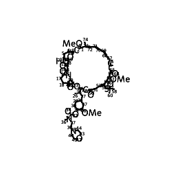 CO[C@H]1C[C@@H]2CC[C@@H](C)[C@@](O)(O2)C(=O)C(=O)N2CCCC[C@H]2C(=O)O[C@H]([C@H](C)C[C@@H]2CC[C@@H](OC(=O)N(C)CCN3CCOCC3)[C@H](OC)C2)CC(=O)C/C=C(\C)C(O[Si](C)(C)C)[C@@H](OC)C(=O)CCC/C=C/C=C/C=C/1C